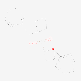 O=S(=O)(C1(Cc2ccccc2)CCC1)C1(Cc2ccccc2)CCC1